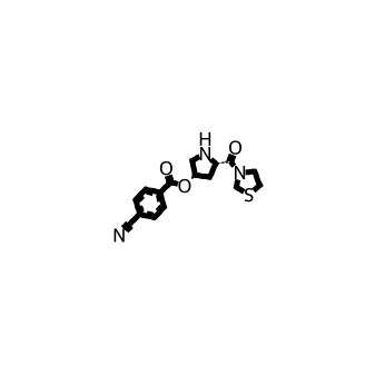 N#Cc1ccc(C(=O)O[C@@H]2CN[C@H](C(=O)N3CCSC3)C2)cc1